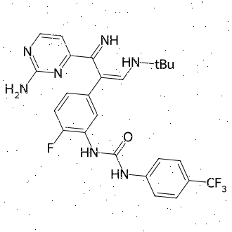 CC(C)(C)N/C=C(\C(=N)c1ccnc(N)n1)c1ccc(F)c(NC(=O)Nc2ccc(C(F)(F)F)cc2)c1